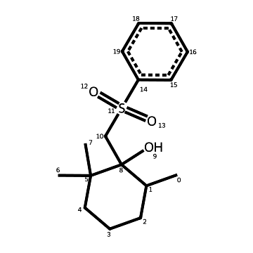 CC1CCCC(C)(C)C1(O)CS(=O)(=O)c1ccccc1